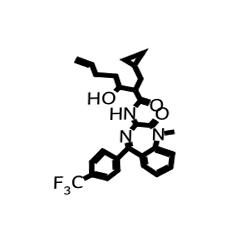 C=CCCC(O)C(CC1CC1)C(=O)NC1N=C(c2ccc(C(F)(F)F)cc2)c2ccccc2N(C)C1=O